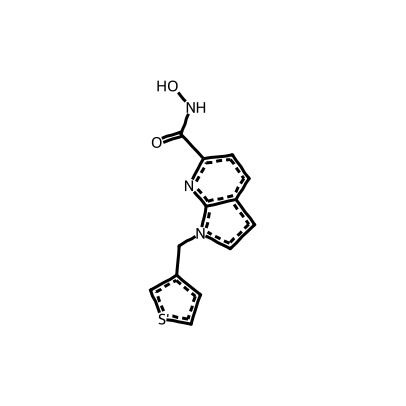 O=C(NO)c1ccc2ccn(Cc3ccsc3)c2n1